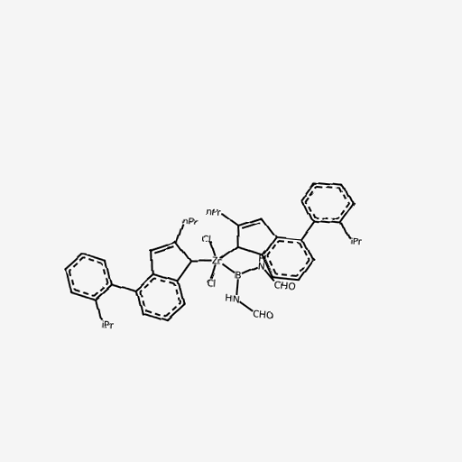 CCCC1=Cc2c(-c3ccccc3C(C)C)cccc2[CH]1[Zr]([Cl])([Cl])([B](NC=O)NC=O)[CH]1C(CCC)=Cc2c(-c3ccccc3C(C)C)cccc21